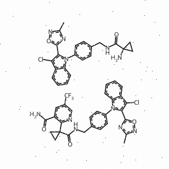 Cc1noc(-c2c(Cl)c3ccccc3n2-c2ccc(CNC(=O)C3(N)CC3)cc2)n1.Cc1noc(-c2c(Cl)c3ccccc3n2-c2ccc(CNC(=O)C3(c4ncc(C(F)(F)F)cc4C(N)=O)CC3)cc2)n1